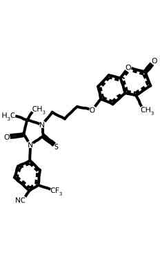 Cc1cc(=O)oc2ccc(OCCCN3C(=S)N(c4ccc(C#N)c(C(F)(F)F)c4)C(=O)C3(C)C)cc12